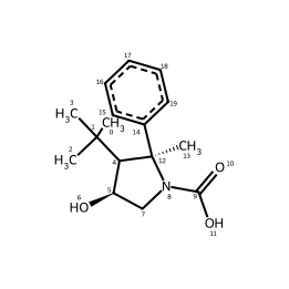 CC(C)(C)C1[C@H](O)CN(C(=O)O)[C@]1(C)c1ccccc1